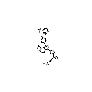 CC#CC(=O)N1CCC(c2nc(-c3ccc(Oc4ncccc4C(F)(F)F)cc3)n3c(N)nccc23)C1